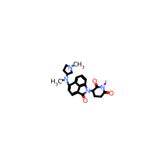 CN1CCC(N(C)c2ccc3c4c(cccc24)N(C2CCC(=O)N(I)C2=O)C3=O)C1